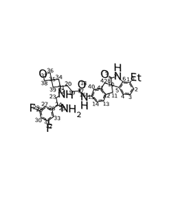 CCc1cccc2c1NC(=O)C21Cc2ccc(NC(=O)CCC3(NCC(N)c4cc(F)cc(F)c4)CC4(COC4)C3)cc2C1